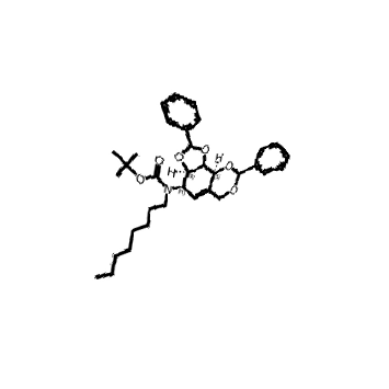 CCCCCCCCN(C(=O)OC(C)(C)C)[C@@H]1C=C2COC(c3ccccc3)O[C@@H]2C2OC(c3ccccc3)O[C@@H]21